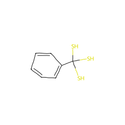 SC(S)(S)c1ccccc1